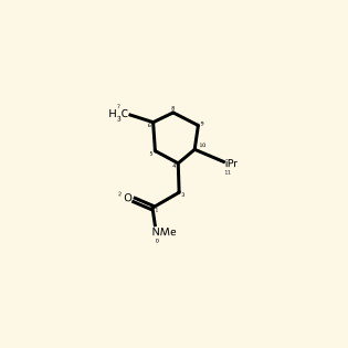 CNC(=O)CC1CC(C)CCC1C(C)C